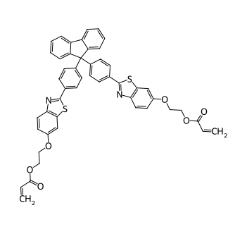 C=CC(=O)OCCOc1ccc2nc(-c3ccc(C4(c5ccc(-c6nc7ccc(OCCOC(=O)C=C)cc7s6)cc5)c5ccccc5-c5ccccc54)cc3)sc2c1